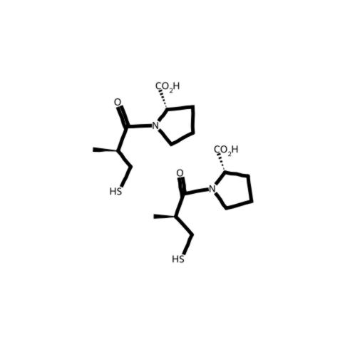 C[C@H](CS)C(=O)N1CCC[C@H]1C(=O)O.C[C@H](CS)C(=O)N1CCC[C@H]1C(=O)O